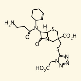 NCCC(=O)N(C1C=CCCC1)C1C(=O)N2CC(CSc3nnnn3CC(=O)O)(C(=O)O)CS[C@H]12